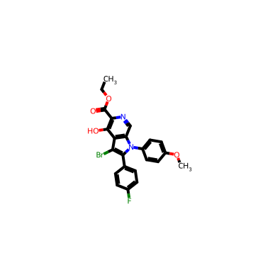 CCOC(=O)c1ncc2c(c1O)c(Br)c(-c1ccc(F)cc1)n2-c1ccc(OC)cc1